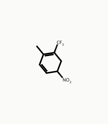 CC1=C(C(F)(F)F)CC([N+](=O)[O-])C=C1